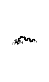 C=C(O)C(CC(C)C)NC(=O)CC/C=C\C/C=C\C/C=C\C/C=C\C/C=C\C/C=C\CC